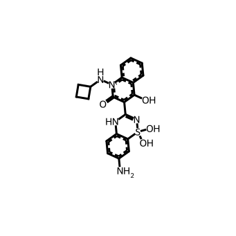 Nc1ccc2c(c1)S(O)(O)N=C(c1c(O)c3ccccc3n(NC3CCC3)c1=O)N2